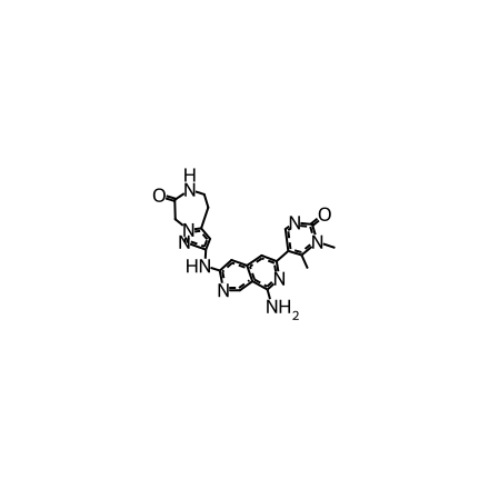 Cc1c(-c2cc3cc(Nc4cc5n(n4)CC(=O)NCC5)ncc3c(N)n2)cnc(=O)n1C